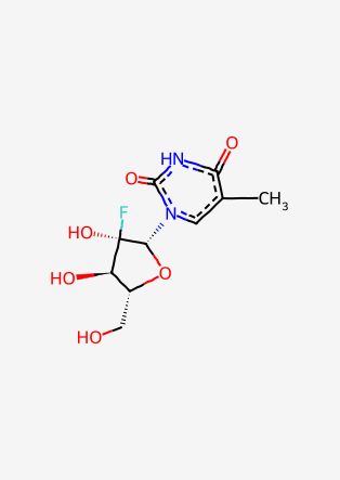 Cc1cn([C@@H]2O[C@H](CO)[C@@H](O)[C@@]2(O)F)c(=O)[nH]c1=O